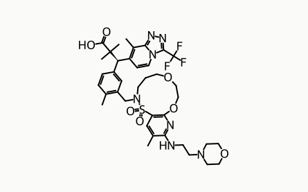 Cc1ccc([C@H](c2ccn3c(C(F)(F)F)nnc3c2C)C(C)(C)C(=O)O)cc1CN1CCCOCCOc2nc(NCCN3CCOCC3)c(C)cc2S1(=O)=O